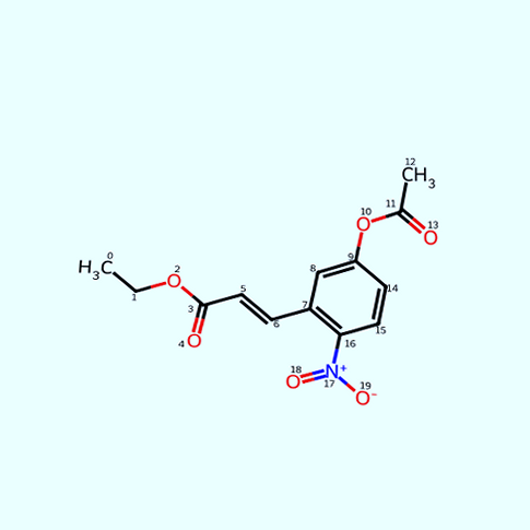 CCOC(=O)C=Cc1cc(OC(C)=O)ccc1[N+](=O)[O-]